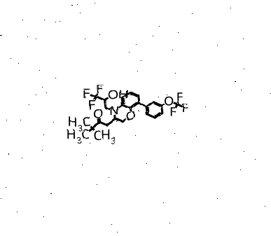 CC(C)(C)C(=O)CC1COc2c(-c3cccc(OC(F)(F)F)c3)cccc2N1CC(O)C(F)(F)F